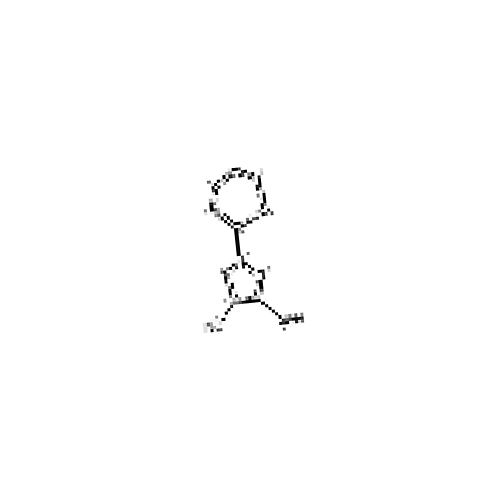 CSc1nn(-c2ccccc2)cc1C#N